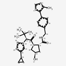 Cc1ncsc1-c1ccc(CNC(=O)[C@@H]2C[C@@H](O)CN2C(=O)[C@@H](n2cc(C3CC3)nn2)C(C)(C)C)cc1